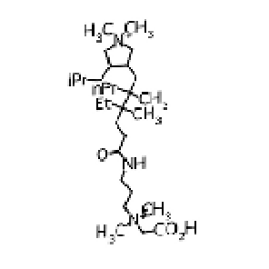 CCCC(C)(CC1C[N+](C)(C)CC1CC(C)C)C(C)(CC)CCC(=O)NCCC[N+](C)(C)CC(=O)O